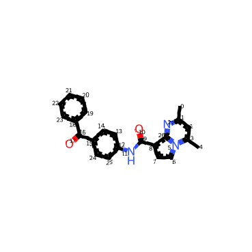 Cc1cc(C)n2ccc(C(=O)Nc3ccc(C(=O)c4ccccc4)cc3)c2n1